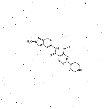 CCOc1nc(N2CCNCC2)ncc1C(=O)Nc1ccc2nn(C)cc2c1